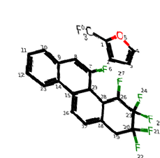 FC(F)(F)c1ccco1.FC1=Cc2ccccc2C2=CC=C3CC(F)(F)C(F)(F)C(F)C3C12